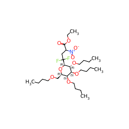 CCCCOC[C@H]1O[C@@H](C(F)(F)CC(C(=O)OCC)[N+](=O)[O-])[C@H](OCCCC)[C@@H](OCCCC)[C@H]1OCCCC